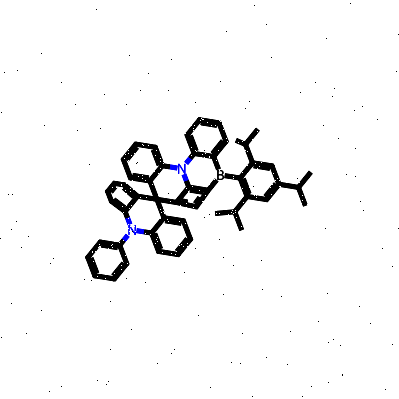 CC(C)c1cc(C(C)C)c(B2c3ccccc3N3c4ccccc4C4(c5ccccc5N(c5ccccc5)c5ccccc54)c4cccc2c43)c(C(C)C)c1